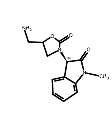 CN1C(=O)[C@H](N2CC(CN)OC2=O)c2ccccc21